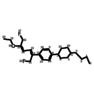 CCCCC1CCC(c2ccc(/C(=C/C=C(\CF)OCC)CF)cc2)CC1